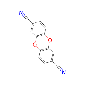 N#Cc1ccc2c(c1)Oc1ccc(C#N)cc1O2